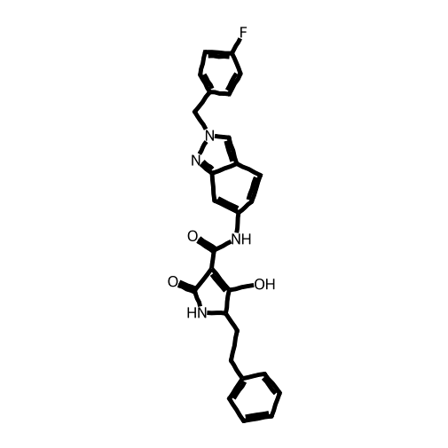 O=C(Nc1ccc2cn(Cc3ccc(F)cc3)nc2c1)C1=C(O)C(CCc2ccccc2)NC1=O